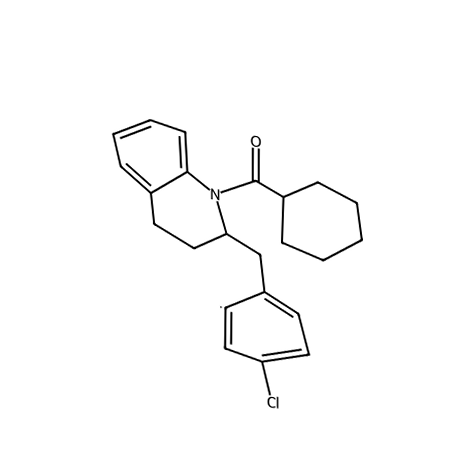 O=C(C1CCCCC1)N1c2ccccc2CCC1Cc1[c]cc(Cl)cc1